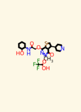 Cn1nc(OCC(=O)Nc2ccccc2O)c2scc(-c3ccncc3)c2c1=O.O=C(O)C(F)(F)F